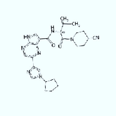 C=C(C)[C@@H](NC(=O)c1c[nH]c2ncc(-c3cn(C4CCCC4)cn3)nc12)C(=O)N1CCC(C#N)CC1